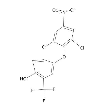 O=[N+]([O-])c1cc(Cl)c(Oc2ccc(O)c(C(F)(F)F)c2)c(Cl)c1